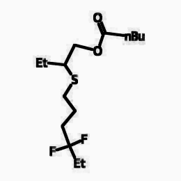 CCCCC(=O)OCC(CC)SCCCC(F)(F)CC